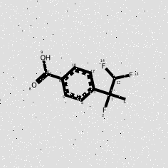 CC(F)(c1ccc(C(=O)O)cc1)C(F)F